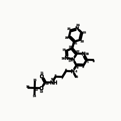 Cc1cc(N(C)CCCNC(=O)OC(C)(C)C)n2ncc(-c3ccncc3)c2n1